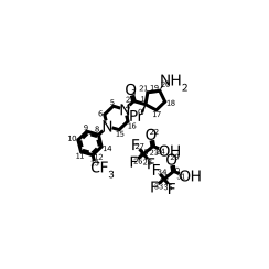 CC(C)[C@]1(C(=O)N2CCN(c3cccc(C(F)(F)F)c3)CC2)CC[C@@H](N)C1.O=C(O)C(F)(F)F.O=C(O)C(F)(F)F